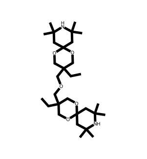 CCC1(COCC2(CC)COC3(CC(C)(C)NC(C)(C)C3)OC2)COC2(CC(C)(C)NC(C)(C)C2)OC1